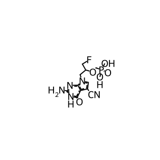 N#Cc1cn(CC(CF)OCP(=O)(O)O)c2nc(N)[nH]c(=O)c12